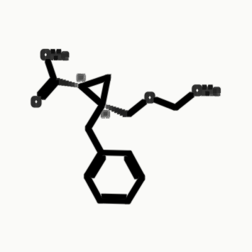 COCOC[C@@]1(Cc2ccccc2)C[C@H]1C(=O)OC